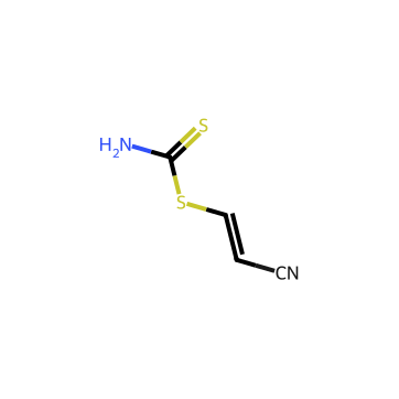 N#CC=CSC(N)=S